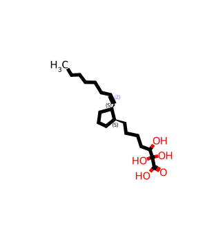 CCCCCC/C=C\[C@H]1CCC[C@@H]1CCCCC(O)C(O)(O)C(=O)O